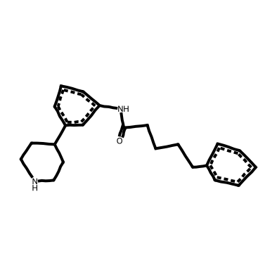 O=C(CCCCc1ccccc1)Nc1cccc(C2CCNCC2)c1